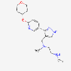 CNCCN(C)Cc1c[nH]nc1-c1ccc(OC2CCOCC2)nc1